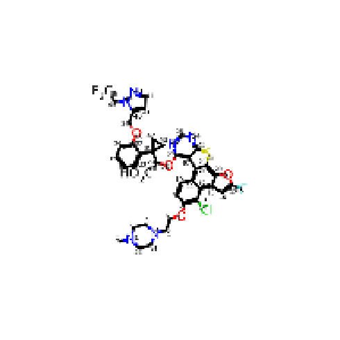 CN1CCN(CCOc2ccc3c(c2Cl)c2cc(F)oc2c2sc4ncnc(O[C@@H](C(=O)O)C5(c6ccccc6OCc6ccnn6CC(F)(F)F)CC5)c4c32)CC1